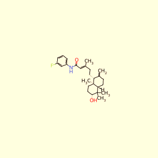 C=C1CC[C@@H]2C(C)(C)[C@H](O)CC[C@@]2(C)[C@@H]1CCC(C)=CC(=O)Nc1cccc(F)c1